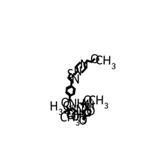 CCC(C)(C)[C@H](NC(=O)c1ccc(-c2csc(N3CCN(CCOC)CC3)n2)cc1)C(=O)N1C[C@@H](OC)[C@H]2OCC(=O)[C@H]21